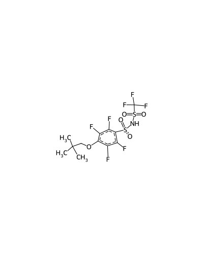 CC(C)(C)COc1c(F)c(F)c(S(=O)(=O)NS(=O)(=O)C(F)(F)F)c(F)c1F